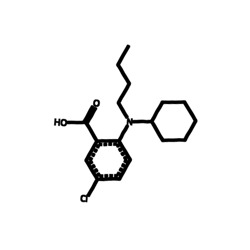 CCCCN(c1ccc(Cl)cc1C(=O)O)C1CCCCC1